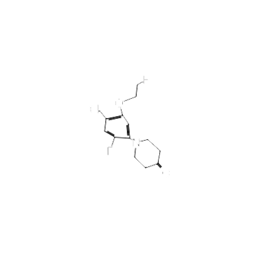 O=C1CCN(c2cc(OCCF)c(Cl)cc2F)CC1